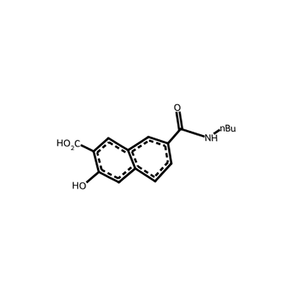 CCCCNC(=O)c1ccc2cc(O)c(C(=O)O)cc2c1